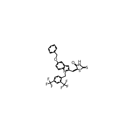 O=C1NC(=S)SC1=Cc1cc2cc(OCc3ccccc3)ccc2n1Cc1ccc(C(F)(F)F)cc1C(F)(F)F